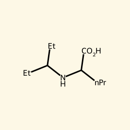 CCCC(NC(CC)CC)C(=O)O